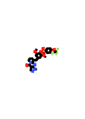 COc1cc(/C=C2\CCCn3c2nc2c(cnn2C)c3=O)cc(OC)c1OS(=O)(=O)c1ccc(OC(F)(F)F)cc1